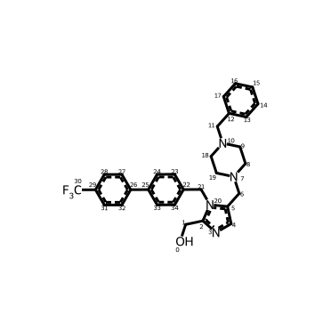 OCc1ncc(CN2CCN(Cc3ccccc3)CC2)n1Cc1ccc(-c2ccc(C(F)(F)F)cc2)cc1